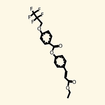 CCOC(=O)/C=C/c1ccc(OC(=O)c2ccc(OCC(F)(F)C(F)(F)F)cc2)cc1